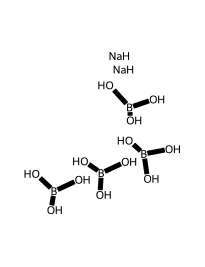 OB(O)O.OB(O)O.OB(O)O.OB(O)O.[NaH].[NaH]